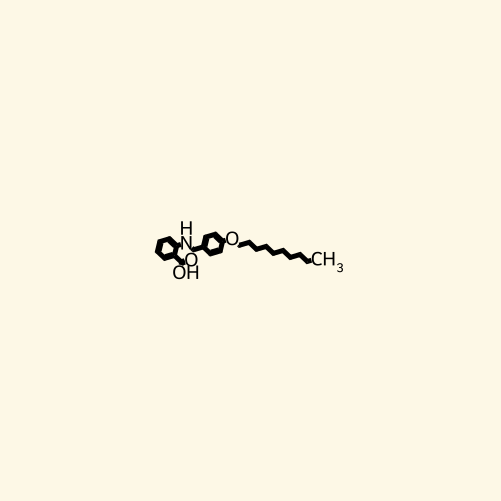 CCCCCCCCCCOc1ccc(CNc2ccccc2C(=O)O)cc1